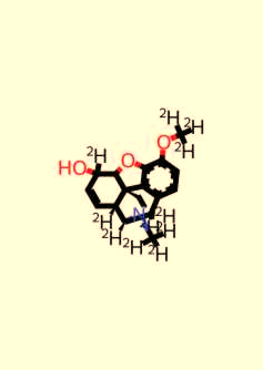 [2H]C([2H])([2H])Oc1ccc2c3c1OC1C([2H])(O)C=C[C@]4([2H])[C@@]31CCN(C([2H])([2H])[2H])[C@]4([2H])C2([2H])[2H]